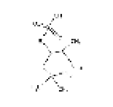 CC(C)C(BS(=O)(=O)O)CC(C)(C)C